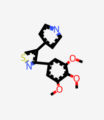 COc1cc(-c2nscc2-c2ccncc2)cc(OC)c1OC